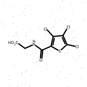 O=C(O)CNC(=O)c1sc(Cl)c(Cl)c1Cl